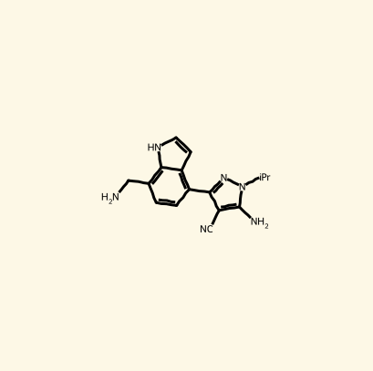 CC(C)n1nc(-c2ccc(CN)c3[nH]ccc23)c(C#N)c1N